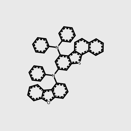 c1ccc(N(c2cc(N(c3ccccc3)c3ccccc3)c3c(c2)sc2c4ccccc4ccc23)c2cccc3oc4ccccc4c23)cc1